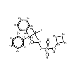 CC(C)(C)[Si](OCCS(=O)(=O)OC1CCC1)(c1ccccc1)c1ccccc1